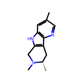 Cc1cnc2c3c([nH]c2c1)CN(C)[C@@H](C)C3